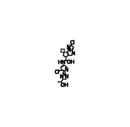 C[C@H](O)c1cnn(-c2ncc(NC(O)C3CC4(CCC4)c4c3cnc3cc(Cl)nn43)cc2Cl)n1